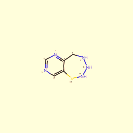 c1ncc2c(n1)CNNNS2